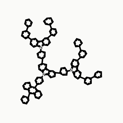 c1ccc(-c2cccc(-c3ccc4c(c3)c3cc(-c5cccc(-c6ccccc6)c5)ccc3n4-c3ccc(-c4ccc5c(c4)c4cc(-c6ccc(-n7c8ccc(-c9cccc(-c%10ccccc%10)c9)cc8c8cc(-c9cccc(-c%10ccccc%10)c9)ccc87)cc6)ccc4n5-c4ccc(-c5c6ccccc6c(-c6ccccc6)c6ccccc56)cc4)cc3)c2)cc1